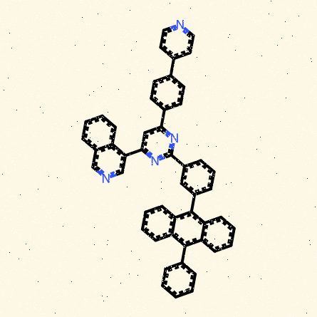 c1ccc(-c2c3ccccc3c(-c3cccc(-c4nc(-c5ccc(-c6ccncc6)cc5)cc(-c5cncc6ccccc56)n4)c3)c3ccccc23)cc1